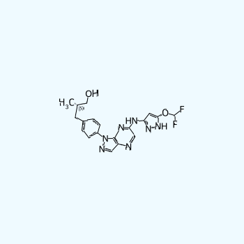 C[C@H](CO)Cc1ccc(-n2ncc3ncc(Nc4cc(OC(F)F)[nH]n4)nc32)cc1